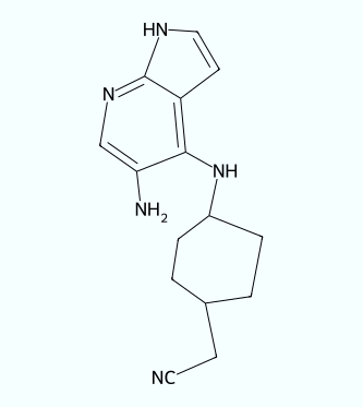 N#CCC1CCC(Nc2c(N)cnc3[nH]ccc23)CC1